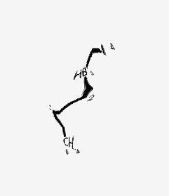 CCCBI